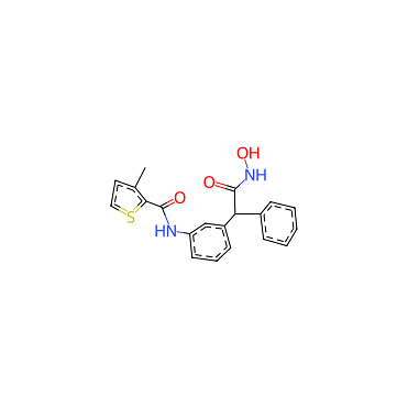 Cc1ccsc1C(=O)Nc1cccc(C(C(=O)NO)c2ccccc2)c1